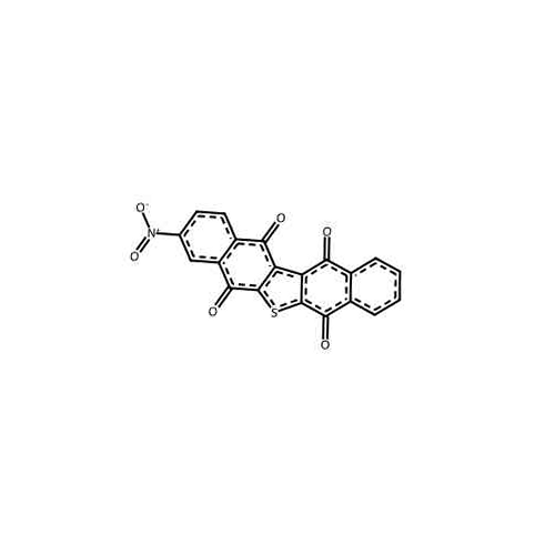 O=c1c2ccccc2c(=O)c2c1sc1c(=O)c3cc([N+](=O)[O-])ccc3c(=O)c12